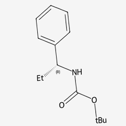 CC[C@@H](NC(=O)OC(C)(C)C)c1ccccc1